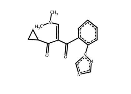 CN(C)C=C(C(=O)c1ccccc1-n1cncn1)C(=O)C1CC1